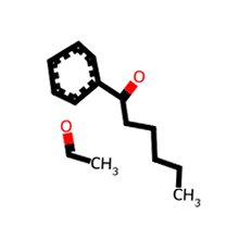 CC=O.CCCCCC(=O)c1ccccc1